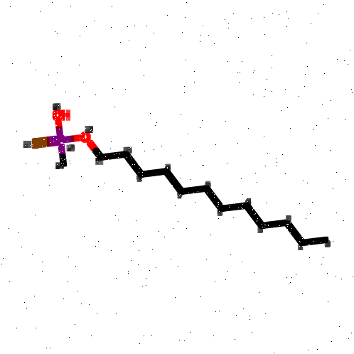 CCCCCCCCCCCCOP(C)(O)=S